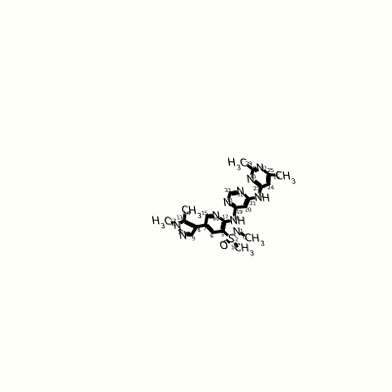 CN=S(C)(=O)c1cc(-c2cnn(C)c2C)cnc1Nc1cc(Nc2cc(C)nc(C)n2)ncn1